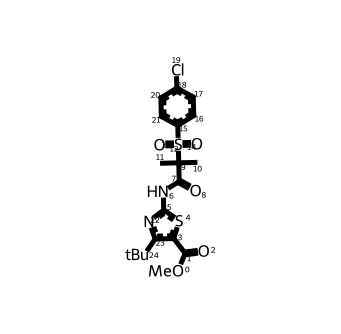 COC(=O)c1sc(NC(=O)C(C)(C)S(=O)(=O)c2ccc(Cl)cc2)nc1C(C)(C)C